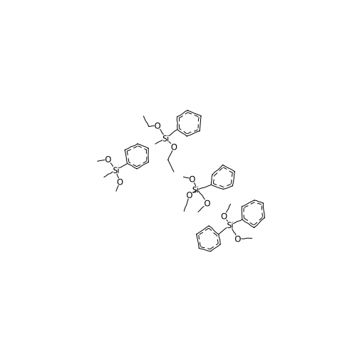 CCO[Si](C)(OCC)c1ccccc1.CO[Si](C)(OC)c1ccccc1.CO[Si](OC)(OC)c1ccccc1.CO[Si](OC)(c1ccccc1)c1ccccc1